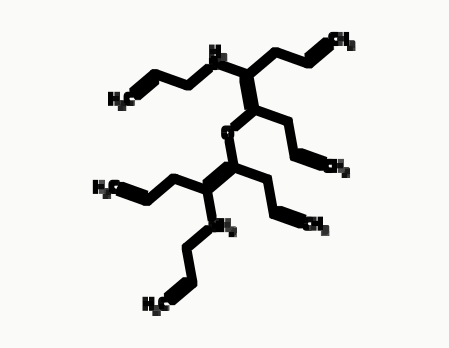 C=CC[SiH2]C(CC=C)=C(CC=C)OC(CC=C)=C(CC=C)[SiH2]CC=C